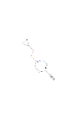 C#Cc1ccc(OCC2CC2)nc1